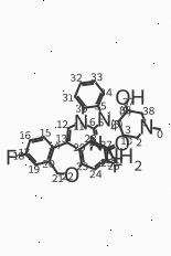 CN1CC[C@H](n2c(=NC(N)=O)n(C=C3c4ccc(F)cc4COc4cc(F)ccc43)c3ccccc32)[C@@H](O)C1